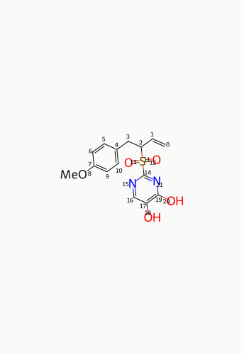 C=CC(Cc1ccc(OC)cc1)S(=O)(=O)c1ncc(O)c(O)n1